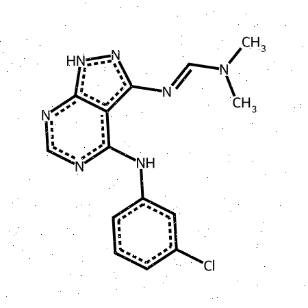 CN(C)/C=N/c1n[nH]c2ncnc(Nc3cccc(Cl)c3)c12